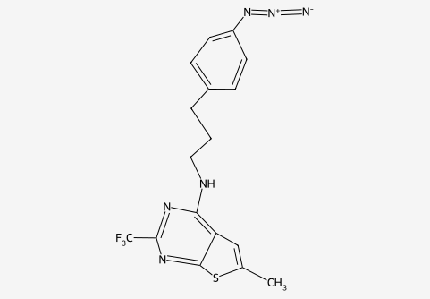 Cc1cc2c(NCCCc3ccc(N=[N+]=[N-])cc3)nc(C(F)(F)F)nc2s1